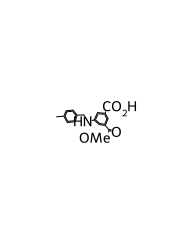 COC(=O)c1cc(NCc2ccc(C)cc2)cc(C(=O)O)c1